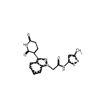 Cc1cc(NC(=O)Cn2nc(C3CCC(=O)NC3=O)c3ccccc32)sn1